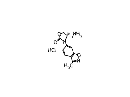 Cc1noc2cc(N3C(=O)OC[C@@H]3CN)ccc12.Cl